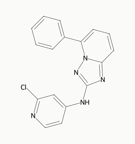 Clc1cc(Nc2nc3cccc(-c4ccccc4)n3n2)ccn1